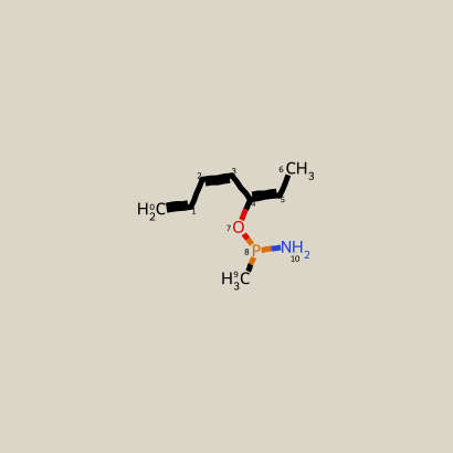 C=C/C=C\C(=C/C)OP(C)N